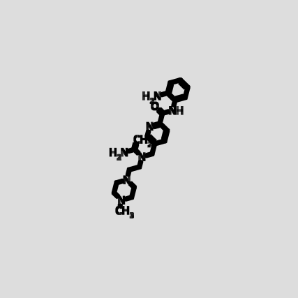 C=C(N)N(CCN1CCN(C)CC1)Cc1ccc(C(=O)Nc2ccccc2N)nc1